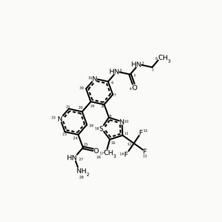 CCNC(=O)Nc1cc(-c2nc(C(F)(F)F)c(C)s2)c(-c2cncc(C(=O)NN)c2)cn1